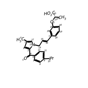 Cc1cc(C(=O)c2ccc(C(C)C)cc2)n(C/C=C/c2cccc(O[C@@H](C)C(=O)O)c2)c1